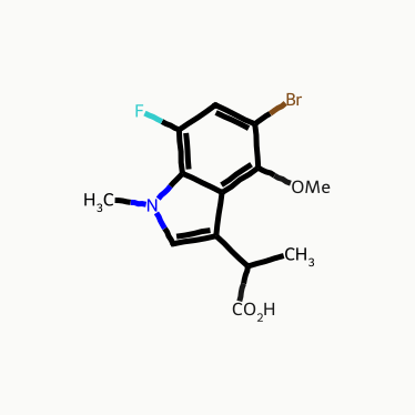 COc1c(Br)cc(F)c2c1c(C(C)C(=O)O)cn2C